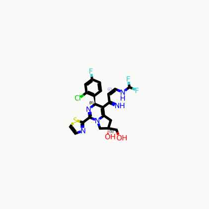 N=C(/C=C\NC(F)F)C1=C2C[C@@](O)(CO)CN2C(c2nccs2)=N[C@H]1c1ccc(F)cc1Cl